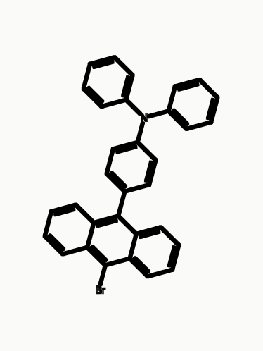 Brc1c2ccccc2c(-c2ccc(N(c3ccccc3)c3ccccc3)cc2)c2ccccc12